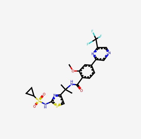 COc1cc(-c2cncc(C(F)(F)F)n2)ccc1C(=O)NC(C)(C)c1csc(NS(=O)(=O)C2CC2)n1